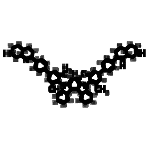 Cc1cc(-c2ccc(C3=NC4CNCCC4CC3)cc2)cc(C)c1-n1c2ccccc2c2c3c4ccccc4n(-c4c(C)cc(-c5ccc(C6CCC7CCNCC7N6)cc5)cc4C)c3ccc21